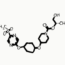 C[C@@H](CO)OC(=O)N1CCC(OC2CCC(Oc3cnc(S(C)(=O)=O)cn3)CC2)CC1